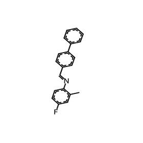 Cc1cc(F)ccc1N=Cc1ccc(-c2ccccc2)cc1